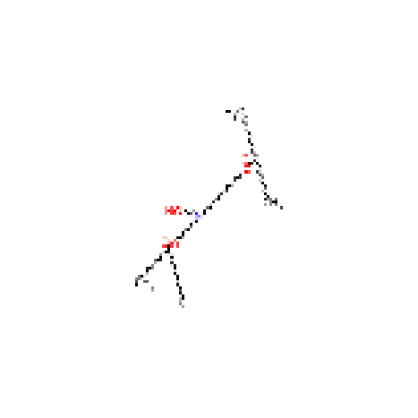 CCCCCCCCCCC(CCCCCCCC)C(=O)OCCCCCCCCCCCCN(CCCO)CCCCCCOC(=O)C(CCCCCCCC)CCCCCCCCCC